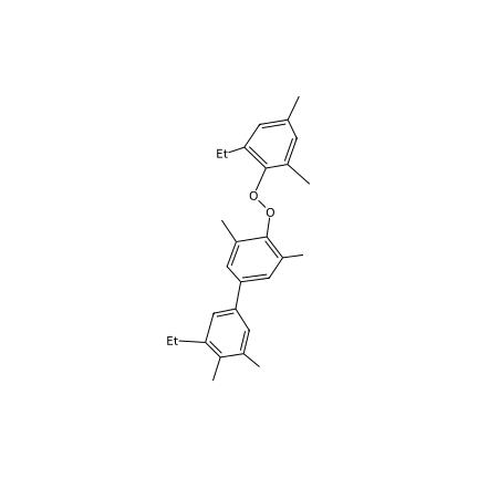 CCc1cc(-c2cc(C)c(OOc3c(C)cc(C)cc3CC)c(C)c2)cc(C)c1C